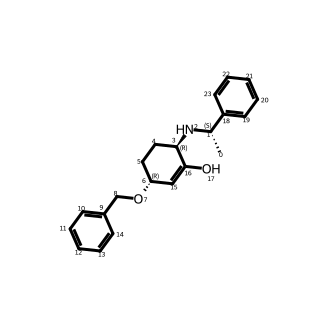 C[C@H](N[C@@H]1CC[C@@H](OCc2ccccc2)C=C1O)c1ccccc1